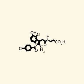 Cc1c(CC(=O)NCCC(=O)O)c2c(Cl)c(O)ccc2n1C(=O)c1ccc(Cl)cc1